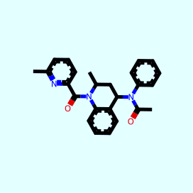 CC(=O)N(c1ccccc1)C1CC(C)N(C(=O)c2cccc(C)n2)c2ccccc21